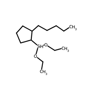 CCCCCC1CCCC1[SiH](OCC)OCC